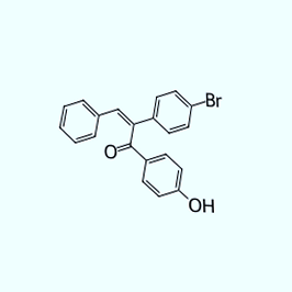 O=C(C(=Cc1ccccc1)c1ccc(Br)cc1)c1ccc(O)cc1